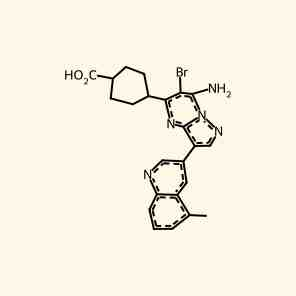 Cc1cccc2ncc(-c3cnn4c(N)c(Br)c(C5CCC(C(=O)O)CC5)nc34)cc12